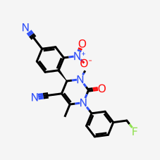 CC1=C(C#N)[C@@H](c2ccc(C#N)cc2[N+](=O)[O-])N(C)C(=O)N1c1cccc(CF)c1